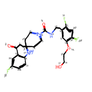 O=C1CC2(CCN(C(=O)NCc3cc(OCCO)c(F)cc3F)CC2)Nc2ccc(F)cc21